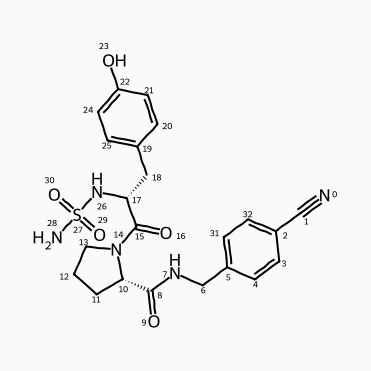 N#Cc1ccc(CNC(=O)[C@@H]2CCCN2C(=O)[C@@H](Cc2ccc(O)cc2)NS(N)(=O)=O)cc1